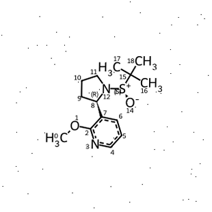 COc1ncccc1[C@H]1CCCN1[S@+]([O-])C(C)(C)C